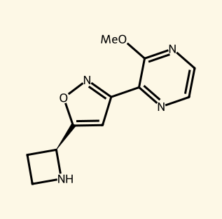 COc1nccnc1-c1cc([C@@H]2CCN2)on1